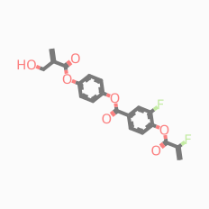 C=C(F)C(=O)Oc1ccc(C(=O)Oc2ccc(OC(=O)C(=C)CO)cc2)cc1F